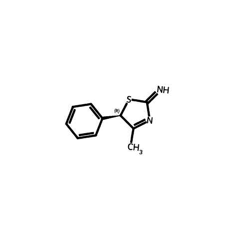 CC1=NC(=N)S[C@@H]1c1ccccc1